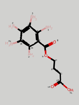 Bc1c(B)c(B)c(C(=O)OCCCC(=O)O)c(B)c1B